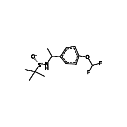 CC(N[S@@+]([O-])C(C)(C)C)c1ccc(OC(F)F)cc1